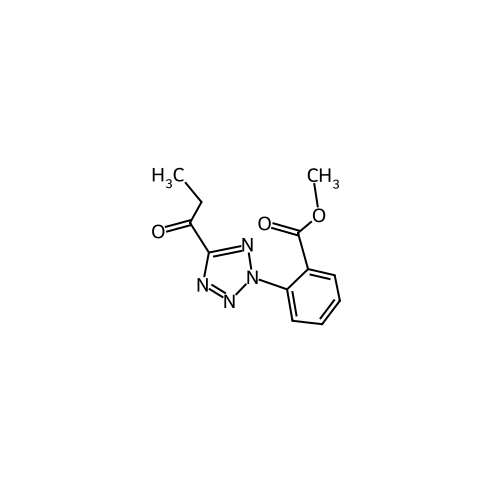 CCC(=O)c1nnn(-c2ccccc2C(=O)OC)n1